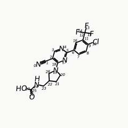 N#Cc1cnc(-c2ccc(Cl)c(C(F)(F)F)c2)nc1N1CCC(CNC(=O)O)C1